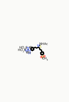 CC(=O)Nc1nc(CCc2ccc(NC(N(C(=O)O)C(C)(C)C)N(C(=O)O)C(C)(C)C)cc2)c(CCc2ccc(S(C)(=O)=O)cc2)s1